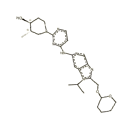 CC(C)n1c(COC2CCCCO2)nc2cnc(Nc3ccnc(N4CC[C@H](O)[C@@H](C)C4)n3)cc21